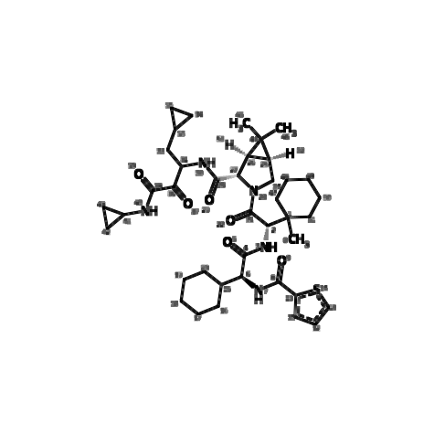 CC1([C@H](NC(=O)[C@@H](NC(=O)c2cccs2)C2CCCCC2)C(=O)N2C[C@H]3[C@@H]([C@H]2C(=O)NC(CC2CC2)C(=O)C(=O)NC2CC2)C3(C)C)CCCCC1